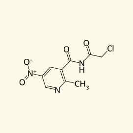 Cc1ncc([N+](=O)[O-])cc1C(=O)NC(=O)CCl